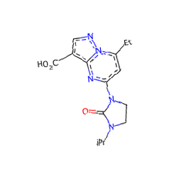 CCc1cc(N2CCN(C(C)C)C2=O)nc2c(C(=O)O)cnn12